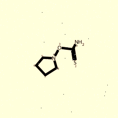 NC(=S)ON1CCCC1